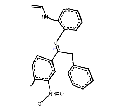 C=CNc1ccccc1/N=C(\Cc1ccccc1)c1ccc(F)c([N+](=O)[O-])c1